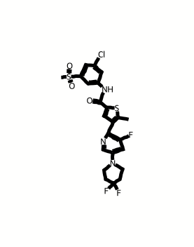 Cc1sc(C(=O)Nc2cc(Cl)cc(S(C)(=O)=O)c2)cc1-c1ncc(N2CCC(F)(F)CC2)cc1F